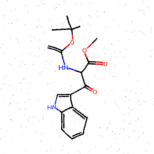 C=C(NC(C(=O)OC)C(=O)c1c[nH]c2ccccc12)OC(C)(C)C